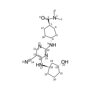 CN(C)C(=O)[C@H]1CC[C@H](Nc2ncc(C#N)c(N[C@@H]3CCC[C@@H](O)C3)n2)CC1